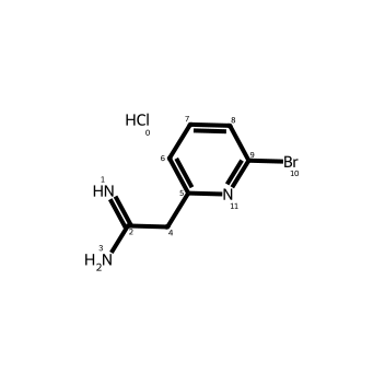 Cl.N=C(N)Cc1cccc(Br)n1